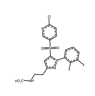 Cc1c(F)cccc1-n1nc(CCNC(=O)O)cc1S(=O)(=O)c1ccc(Cl)nc1